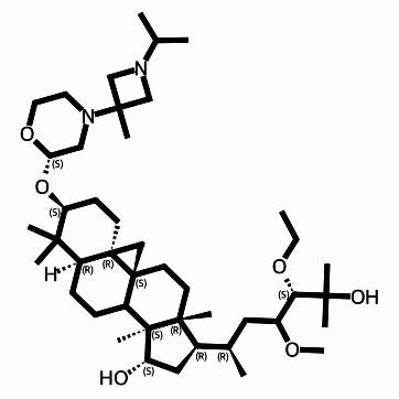 CCO[C@@H](C(C[C@@H](C)[C@H]1C[C@H](O)[C@@]2(C)C3CC[C@H]4C(C)(C)[C@@H](O[C@H]5CN(C6(C)CN(C(C)C)C6)CCO5)CC[C@@]45C[C@@]35CC[C@]12C)OC)C(C)(C)O